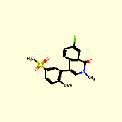 COc1ccc(S(C)(=O)=O)cc1-c1cn(C)c(=O)c2cc(F)ccc12